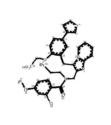 CC(C)CCN(Cc1nc2ccccn2c1Cc1cc(-c2ccsc2)ccc1OCC(=O)O)C(=O)c1ccc(OC(C)C)cc1Cl